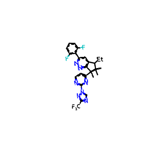 CCC1c2cc(-c3c(F)cccc3F)nnc2C(C)(c2ccnc(-n3cnc(C(F)(F)F)n3)n2)C1(C)C